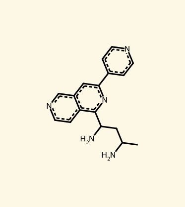 CC(N)CC(N)c1nc(-c2ccncc2)cc2cnccc12